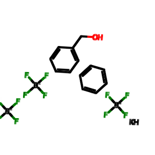 F[B-](F)(F)F.F[B-](F)(F)F.F[B-](F)(F)F.OCc1ccccc1.[KH].c1ccccc1